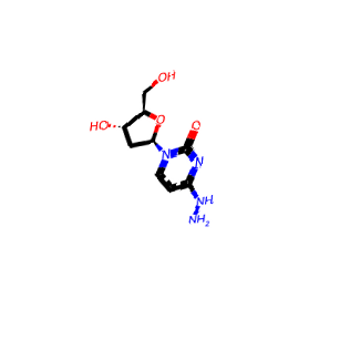 NNc1ccn([C@H]2C[C@H](O)[C@@H](CO)O2)c(=O)n1